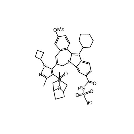 COc1ccc2c(c1)C=C(c1c(C(=O)N3C4CCC3CN(C)C4)c(C)nn1C1CCC1)Cn1c-2c(C2CCCCC2)c2ccc(C(=O)NS(=O)(=O)C(C)C)cc21